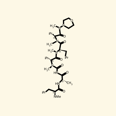 CN[C@@H](CC(C)C)C(=O)N[C@@H](C)C(=O)NC(=O)N(C)[C@@H](C(=O)N(C)[C@H](CC(C)C)C(=O)N(C)[C@H](C(=O)N(C)N1CCOCC1)C(C)C)C(C)C